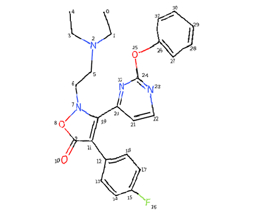 CCN(CC)CCn1oc(=O)c(-c2ccc(F)cc2)c1-c1ccnc(Oc2ccccc2)n1